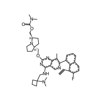 C#Cc1c(F)ccc2cccc(-c3ncc4c(NCC5(N(C)C)CCC5)nc(OC[C@]56CCCN5[C@@H](COC(=O)N(C)C)CC6)nc4c3C)c12